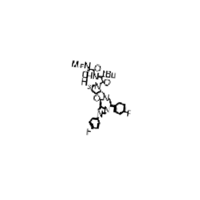 CN[C@@H](C)C(=O)N[C@H](C(=O)N1CCC[C@H]1CN(CCC1=CC=C(F)CC1)C(=O)c1cn(-c2ccc(F)cc2)cn1)C(C)(C)C